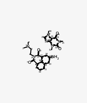 CN(C)CCN1C(=O)c2cccc3cc(N)cc(c23)C1=O.Cn1c(=O)c2c(ncn2C)n(C)c1=O